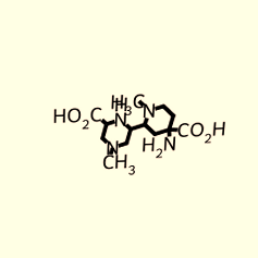 CN1CC(C(=O)O)NC(C2CC(N)(C(=O)O)CCN2C)C1